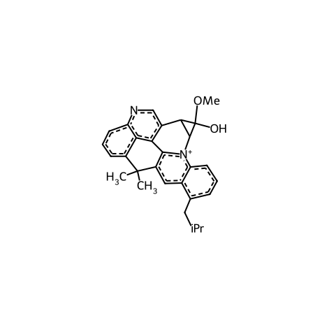 COC1(O)C2c3cnc4cccc5c4c3-c3c(cc4c(CC(C)C)cccc4[n+]3C21)C5(C)C